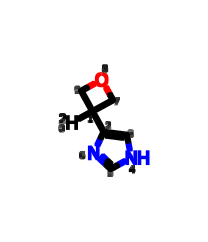 [2H]C1(c2c[nH]cn2)COC1